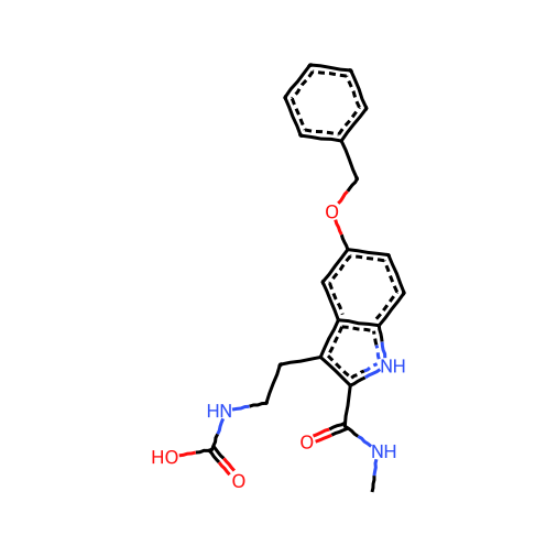 CNC(=O)c1[nH]c2ccc(OCc3ccccc3)cc2c1CCNC(=O)O